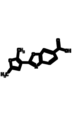 Cc1cc(-c2nc3ccc(C(=O)O)cc3o2)c(C)o1